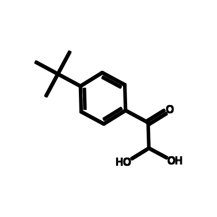 CC(C)(C)c1ccc(C(=O)C(O)O)cc1